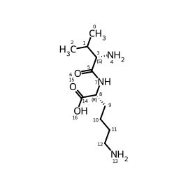 CC(C)[C@H](N)C(=O)N[C@H](CCCCN)C(=O)O